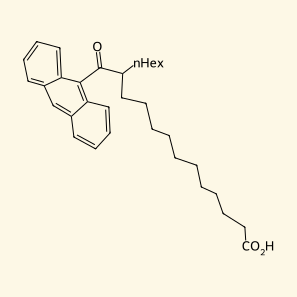 CCCCCCC(CCCCCCCCCCC(=O)O)C(=O)c1c2ccccc2cc2ccccc12